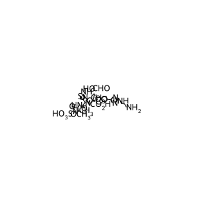 CC(ON=C(C(=O)NC1C(=O)N(OS(=O)(=O)O)C1(C)C)c1csc(N)n1)(C(=O)O)C1CCc2cc(-c3cnc(NCCCN)nc3)ccc2O1.O=CO